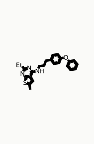 CCc1nc(NCCCc2ccc(Oc3ccccc3)cc2)c2cc(C)sc2n1